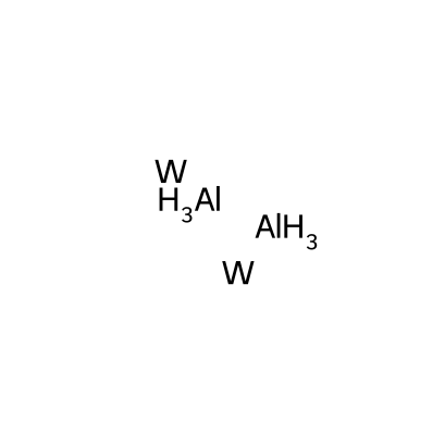 [AlH3].[AlH3].[W].[W]